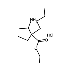 CCCCC(CC)(C(=O)OCC)C(C)N.Cl